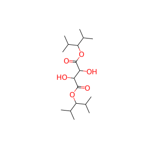 CC(C)C(OC(=O)C(O)C(O)C(=O)OC(C(C)C)C(C)C)C(C)C